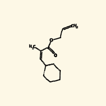 C=CCOC(=O)C(C)=CC1CCCCC1